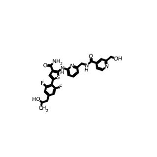 CC(O)Cc1cc(F)c(-c2cc(C(N)=O)c(Nc3cccc(CNC(=O)c4ccnc(CO)c4)n3)s2)c(F)c1